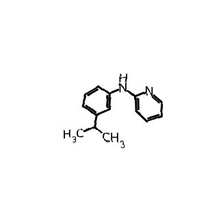 CC(C)c1cccc(Nc2ccccn2)c1